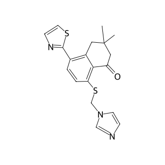 CC1(C)CC(=O)c2c(SCn3ccnc3)ccc(-c3nccs3)c2C1